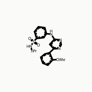 CCCNS(=O)(=O)c1cccc(Nc2cc(-c3ccccc3OC)ncn2)c1